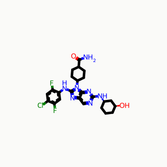 NC(=O)C1CCC(n2c(Nc3cc(F)c(Cl)cc3F)nc3cnc(N[C@@H]4CCC[C@H](O)C4)nc32)CC1